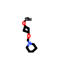 CC(C)(C)OC1CC(OCN2CCCCC2)C1